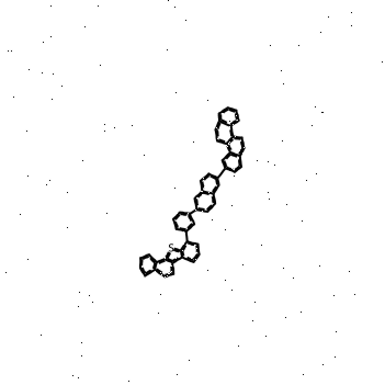 c1cc(-c2ccc3cc(-c4ccc5ccc6c7ccccc7ccc6c5c4)ccc3c2)cc(-c2cccc3c2sc2c4ccccc4ccc32)c1